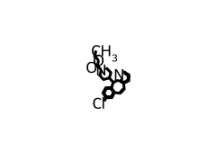 CCOC(=O)N1CCC(C2c3ccc(Cl)cc3C=Cc3cccnc32)CC1